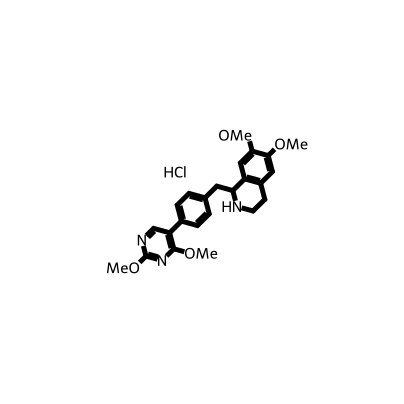 COc1ncc(-c2ccc(CC3NCCc4cc(OC)c(OC)cc43)cc2)c(OC)n1.Cl